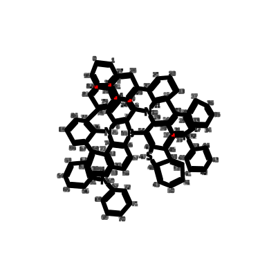 c1ccc(-c2cc3c4c(c2)N(c2c(-c5ccccc5)cccc2-c2ccccc2)c2cc(N(c5ccccc5)c5ccccc5)c5c(sc6ccccc65)c2B4c2ccc(N(c4ccccc4)c4ccccc4)cc2N3c2c(-c3ccccc3)cccc2-c2ccccc2)cc1